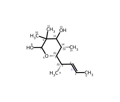 C/C=C/[C@H](C)[C@@H]1OC(O)C(C)(C)C(O)[C@@H]1C